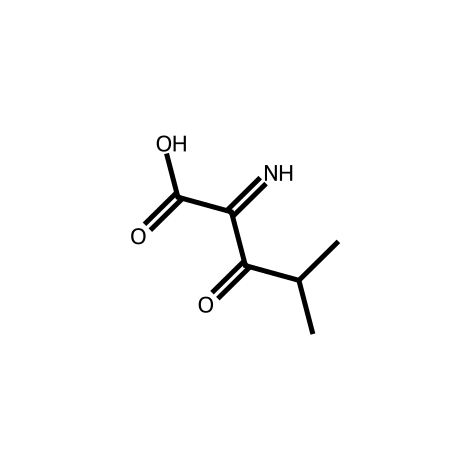 CC(C)C(=O)C(=N)C(=O)O